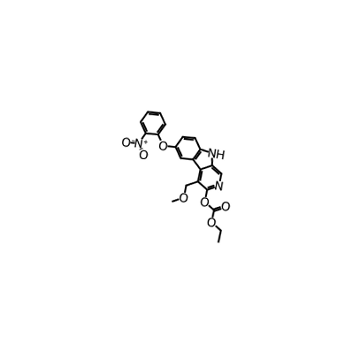 CCOC(=O)Oc1ncc2[nH]c3ccc(Oc4ccccc4[N+](=O)[O-])cc3c2c1COC